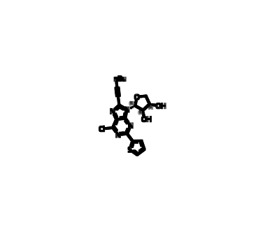 CCCCC#Cc1nc2c(Cl)nc(-c3cccs3)nc2n1[C@@H]1OC[C@@H](O)[C@H]1O